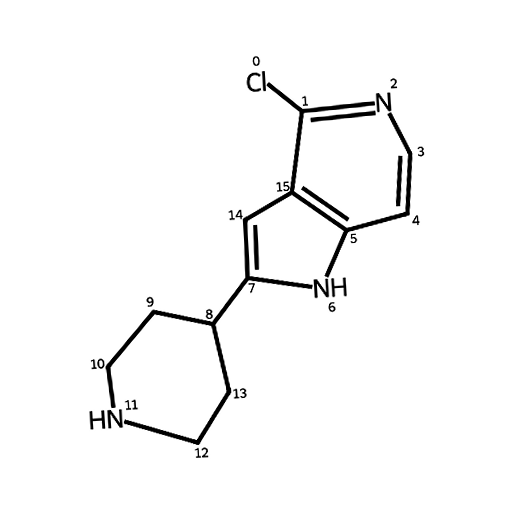 Clc1nccc2[nH]c(C3CCNCC3)cc12